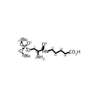 CC(C)(C)OP(=O)(OCC(N)C(=O)NCCCCC(=O)O)OC(C)(C)C